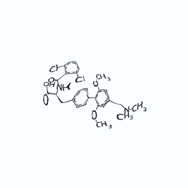 COc1cc(CN(C)C)cc(OC)c1-c1ccc(C[C@H](NC(=O)c2c(Cl)cccc2Cl)C(=O)O)cc1